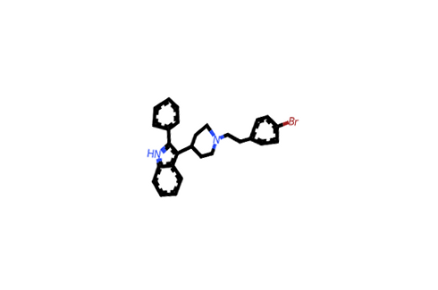 Brc1ccc(CCN2CCC(c3c(-c4ccccc4)[nH]c4ccccc34)CC2)cc1